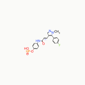 Cn1ncc(/C=C/C(=O)Nc2ccc(O[PH](=O)O)cc2)c1-c1ccc(F)cc1